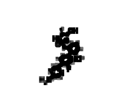 C[C@H](CO)NS(=O)(=O)Cc1ccccc1-c1ccc(-c2cnc(N)cn2)c(F)c1.Cl